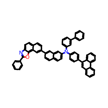 c1ccc(-c2cccc(N(c3ccc(-c4cc5ccccc5c5ccccc45)cc3)c3ccc4ccc(-c5ccc6ccc7nc(-c8ccccc8)oc7c6c5)cc4c3)c2)cc1